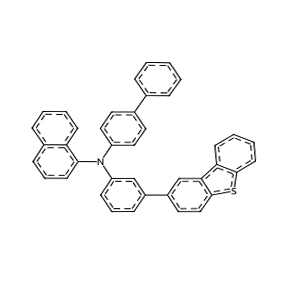 c1ccc(-c2ccc(N(c3cccc(-c4ccc5sc6ccccc6c5c4)c3)c3cccc4ccccc34)cc2)cc1